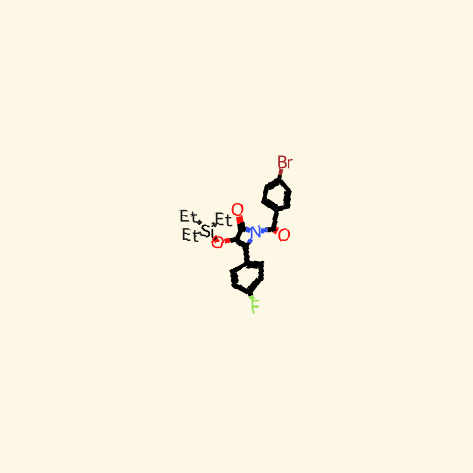 CC[Si](CC)(CC)OC1C(=O)N(C(=O)c2ccc(Br)cc2)C1c1ccc(F)cc1